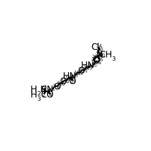 C=C(C)C(=O)NCCOCCOCCC(=O)NCCCOCCCNCc1ccc(N(C)CCCl)cc1